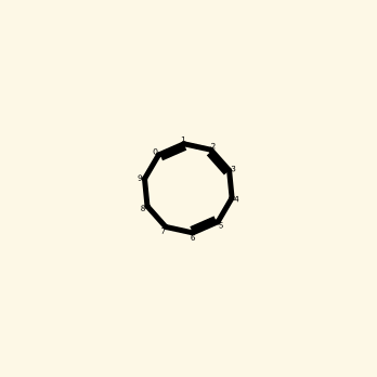 [C]1=CC=CCC=CCCC1